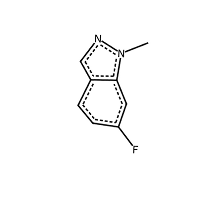 Cn1ncc2ccc(F)cc21